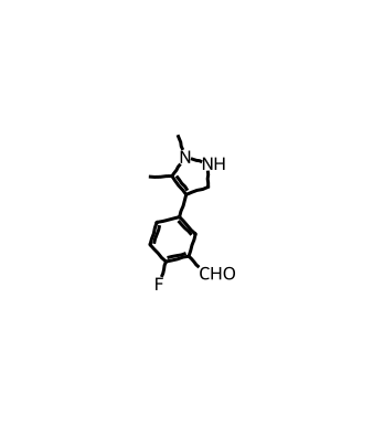 CC1=C(c2ccc(F)c(C=O)c2)CNN1C